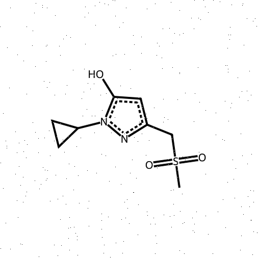 CS(=O)(=O)Cc1cc(O)n(C2CC2)n1